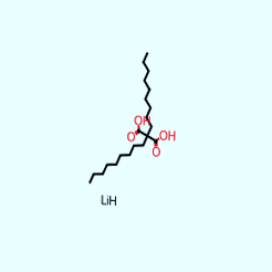 CCCCCCCCCC(CCCCCCCCC)(C(=O)O)C(=O)O.[LiH]